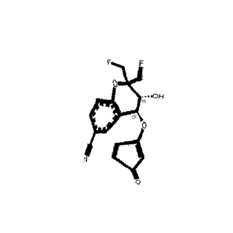 N#Cc1ccc2c(c1)[C@H](OC1=CC(=O)CC1)[C@@H](O)C(CF)(CF)O2